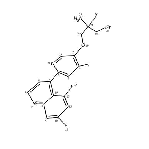 Cc1cc(-c2ccnc3cc(F)cc(F)c23)ncc1OCC(C)(N)CC(C)C